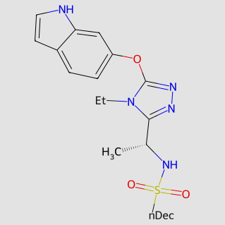 CCCCCCCCCCS(=O)(=O)N[C@H](C)c1nnc(Oc2ccc3cc[nH]c3c2)n1CC